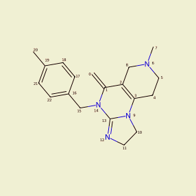 C=C1C2=C(CCN(C)C2)N2CCN=C2N1Cc1ccc(C)cc1